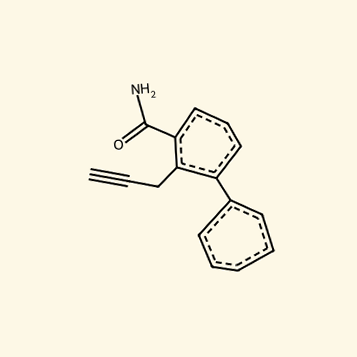 C#CCc1c(C(N)=O)cccc1-c1ccccc1